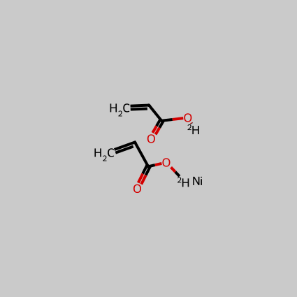 [2H]OC(=O)C=C.[2H]OC(=O)C=C.[Ni]